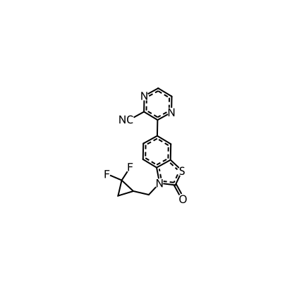 N#Cc1nccnc1-c1ccc2c(c1)sc(=O)n2CC1CC1(F)F